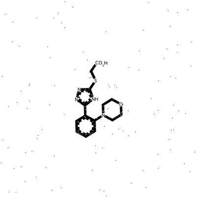 O=C(O)CSc1nnc(-c2ccccc2N2CCOCC2)[nH]1